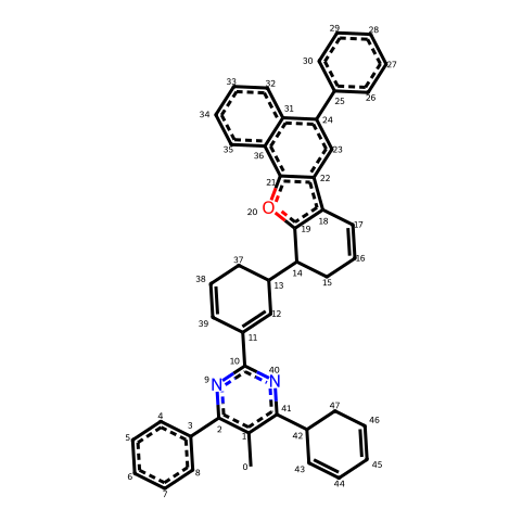 Cc1c(-c2ccccc2)nc(C2=CC(C3CC=Cc4c3oc3c4cc(-c4ccccc4)c4ccccc43)CC=C2)nc1C1C=CC=CC1